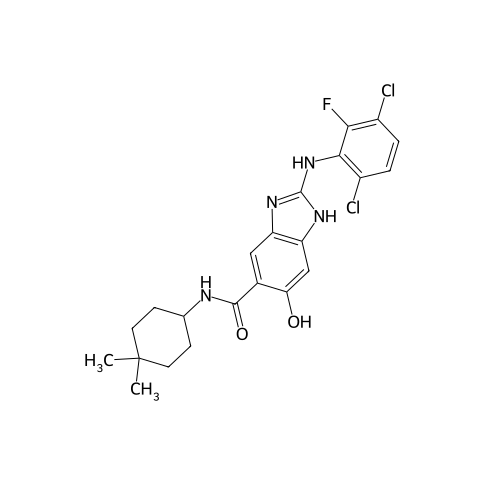 CC1(C)CCC(NC(=O)c2cc3nc(Nc4c(Cl)ccc(Cl)c4F)[nH]c3cc2O)CC1